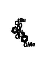 COc1ccc(CN2C(C)C3(CCCN3C(=O)OC(C)(C)C)C2O)cc1